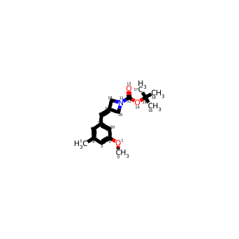 COc1cc(C)cc(C=C2CN(C(=O)OC(C)(C)C)C2)c1